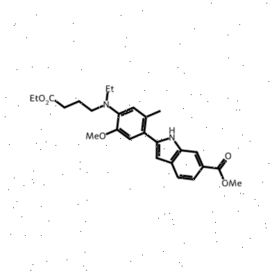 CCOC(=O)CCCN(CC)c1cc(C)c(-c2cc3ccc(C(=O)OC)cc3[nH]2)cc1OC